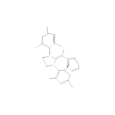 [CH]C(=C1N(c2c(C)cc(C)cc2C)CCN1c1c(C)cc(C)cc1C)c1ccccc1